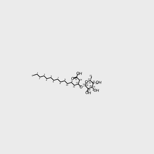 CCCCCCCCCCCCCC(CC(=O)O)O[C@@H]1O[C@@H](C)[C@H](O)[C@@H](O)[C@H]1O